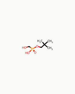 CC(C)(C)COP(=O)(O)CO